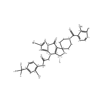 Cc1ncnc(C(=O)N2CCC3(CC2)O[C@H](C)c2c3c(=O)n3nc(Br)nc3n2CC(=O)Nc2ccc(C(F)(F)F)cc2Cl)c1O